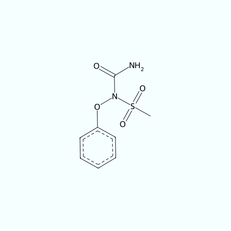 CS(=O)(=O)N(Oc1ccccc1)C(N)=O